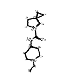 CCN1CCC(NC(=O)N2CCC3(CC3)C2)CC1